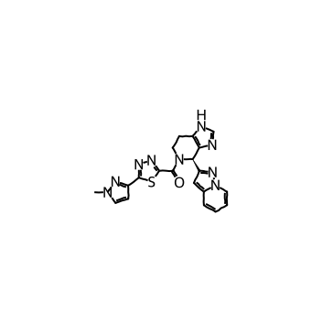 Cn1ccc(-c2nnc(C(=O)N3CCc4[nH]cnc4[C@H]3c3cc4ccccn4n3)s2)n1